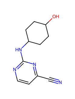 N#Cc1ccnc(NC2CCC(O)CC2)n1